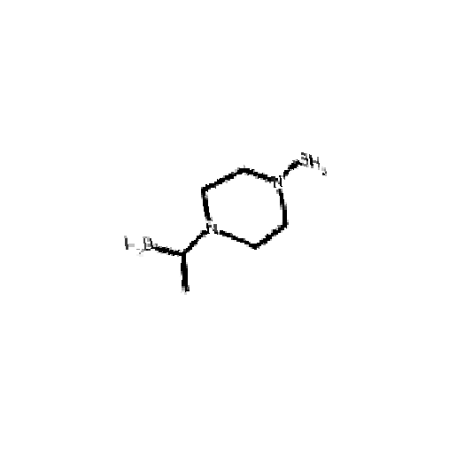 BC(C)N1CCN(B)CC1